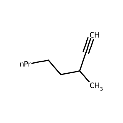 C#CC(C)CCCCC